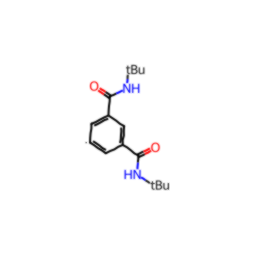 CC(C)(C)NC(=O)c1c[c]cc(C(=O)NC(C)(C)C)c1